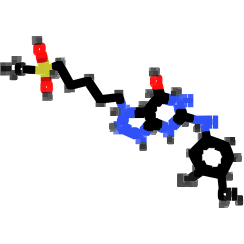 CCc1cc(Nc2nc3nnn(CCCCCS(C)(=O)=O)c3c(=O)[nH]2)ccc1C